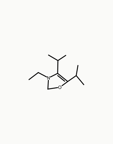 CCN1COC(C(C)C)=C1C(C)C